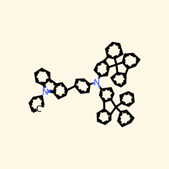 c1ccc(-n2c3ccccc3c3cc(-c4ccc(N(c5ccc6c(c5)-c5ccccc5C6(c5ccccc5)c5ccccc5)c5ccc6c(c5)C5(c7ccccc7-c7ccccc75)c5ccccc5-6)cc4)ccc32)cc1